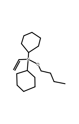 C=C[Si](OCCCC)(C1CCCCC1)C1CCCCC1